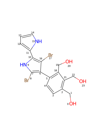 OCc1ccc(-c2c(Br)[nH]c(-c3ccc[nH]3)c2Br)c(CO)c1CO